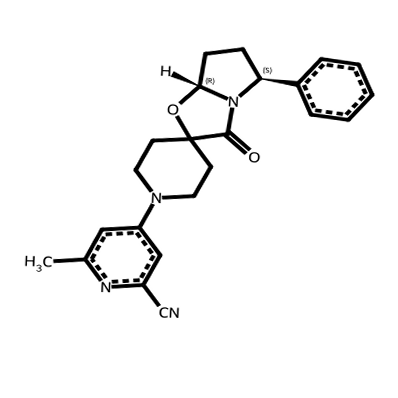 Cc1cc(N2CCC3(CC2)O[C@@H]2CC[C@@H](c4ccccc4)N2C3=O)cc(C#N)n1